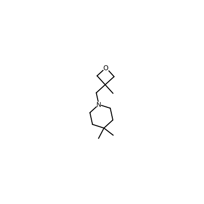 CC1(C)CCN(CC2(C)COC2)CC1